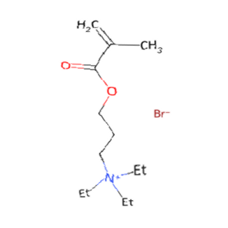 C=C(C)C(=O)OCCC[N+](CC)(CC)CC.[Br-]